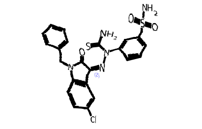 NC(=S)N(/N=C1\C(=O)N(Cc2ccccc2)c2ccc(Cl)cc21)c1cccc(S(N)(=O)=O)c1